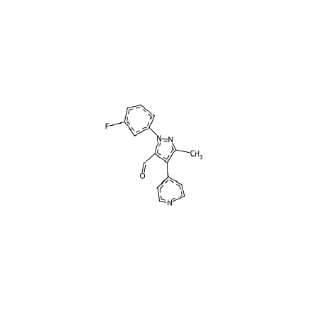 Cc1nn(-c2cccc(F)c2)c(C=O)c1-c1ccncc1